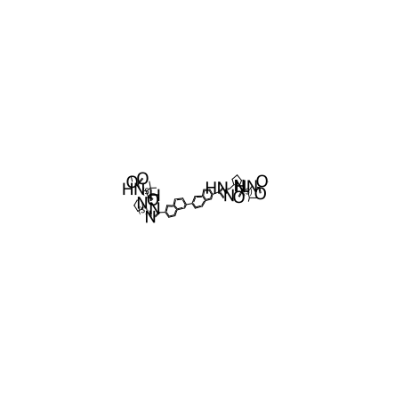 COC(=O)N[C@H](C(=O)N1CCCC1c1ncc(-c2ccc3cc(-c4ccc5cc(-c6cnc([C@@H]7CCCN7C(=O)[C@@H](NC(=O)OC)C(C)C)[nH]6)ccc5c4)ccc3c2)[nH]1)C(C)C